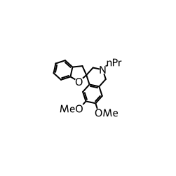 CCCN1Cc2cc(OC)c(OC)cc2C2(Cc3ccccc3O2)C1